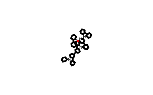 c1ccc(-n2c3ccccc3c3cc(-c4ccc5c(c4)c4ccccc4n5-c4ccccc4-c4cc(-n5c6ccccc6c6ccccc65)nc(-n5c6ccccc6c6ccccc65)c4)ccc32)cc1